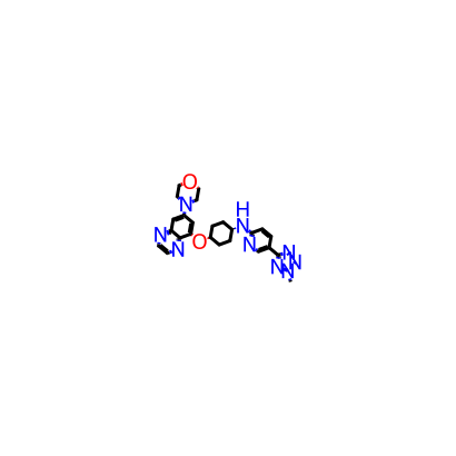 Cn1nnc(-c2ccc(N[C@H]3CC[C@@H](Oc4cc(N5CCOCC5)cc5nccnc45)CC3)nc2)n1